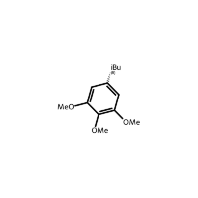 CC[C@@H](C)c1cc(OC)c(OC)c(OC)c1